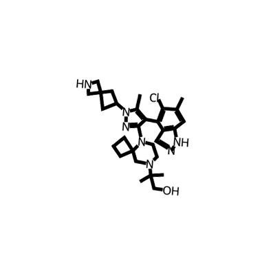 Cc1cc2[nH]ncc2c(-c2c(N3CCN(C(C)(C)CO)CC34CCC4)nn(C3CC4(CNC4)C3)c2C)c1Cl